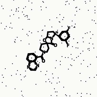 O=C(c1cccc2nccnc12)N1CCC2(CC1)OC1CC[C@@H](c3cc(F)cc(F)c3)N1C2=O